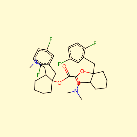 CN(C)CC1CCCCC1(Cc1cc(F)ccc1F)OC(=O)C(=O)OC1(Cc2cc(F)ccc2F)CCCCC1CN(C)C